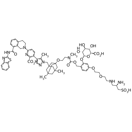 Cc1c(-c2ccc(N3CCc4cccc(C(=O)Nc5nc6ccccc6s5)c4C3)nc2C(=O)O)cnn1CC12CC3(C)CC(C)(C1)CC(OCCN(C)C(=O)OCc1ccc(OCCOCCNC[C@@H](N)CS(=O)(=O)O)cc1O[C@@H]1O[C@H](C(=O)O)[C@@H](O)[C@H](O)[C@H]1O)(C3)C2